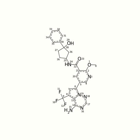 COc1ncc(-c2cc(C(F)(F)F)c3c(N)ncnn23)cc1C(=O)NC1CCC(O)(c2ccccc2)C1